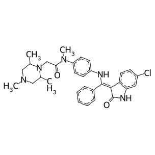 CC1CN(C)CC(C)N1CC(=O)N(C)c1ccc(NC(=C2C(=O)Nc3cc(Cl)ccc32)c2ccccc2)cc1